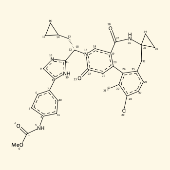 COC(=O)Nc1ccc(-c2cnc([C@H](CC3CC3)n3cc4c(cc3=O)-c3c(ccc(Cl)c3F)CC3(CC3)NC4=O)[nH]2)cc1